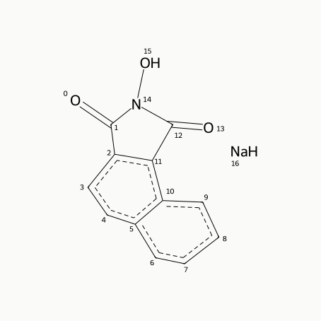 O=C1c2ccc3ccccc3c2C(=O)N1O.[NaH]